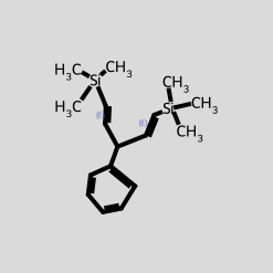 C[Si](C)(C)/C=C/C(/C=C/[Si](C)(C)C)c1ccccc1